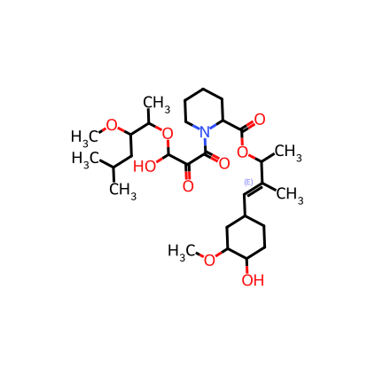 COC1CC(/C=C(\C)C(C)OC(=O)C2CCCCN2C(=O)C(=O)C(O)OC(C)C(CC(C)C)OC)CCC1O